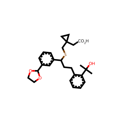 CC(C)(O)c1ccccc1CCC(SCC1(CC(=O)O)CC1)c1cccc(C2OCCO2)c1